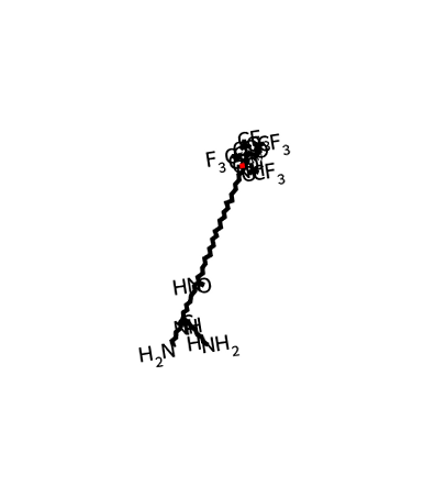 C[C@@H](OC(=O)C(F)(F)F)[C@@H](OC(=O)C(F)(F)F)[C@H](OC(=O)C(F)(F)F)[C@@H](OC(=O)C(F)(F)F)C(=O)NCCCCCCCCCCCCCCCCCCCCCCCC(=O)NCCCCCCC(CNCCCCN)CNCCCCN